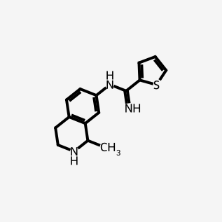 CC1NCCc2ccc(NC(=N)c3cccs3)cc21